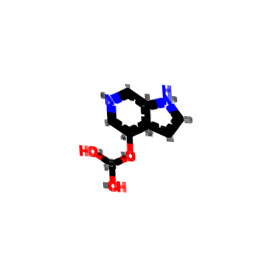 OB(O)Oc1cncc2[nH]ccc12